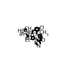 CC[C@H]1C[C@@H](Nc2ncncc2C(=O)c2cc([C@@H]3OCCc4ccc(Cl)cc43)c(C)s2)C[C@@H]1OC(=O)[C@@H](NB(C)O)C(C)C